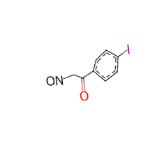 O=NCC(=O)c1ccc(I)cc1